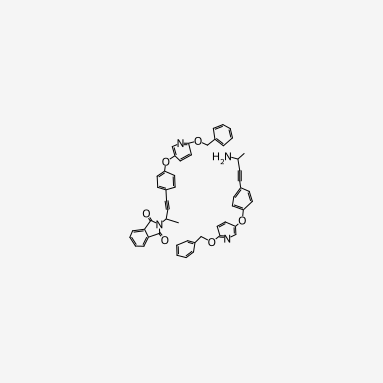 CC(C#Cc1ccc(Oc2ccc(OCc3ccccc3)nc2)cc1)N1C(=O)c2ccccc2C1=O.CC(N)C#Cc1ccc(Oc2ccc(OCc3ccccc3)nc2)cc1